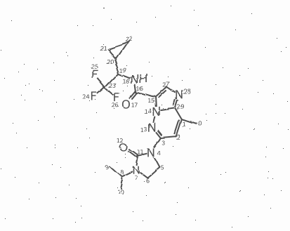 Cc1cc(N2CCN(C(C)C)C2=O)nn2c(C(=O)NC(C3CC3)C(F)(F)F)cnc12